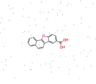 OB(O)c1ccc2oc3c4ccccc4ccc3c2c1